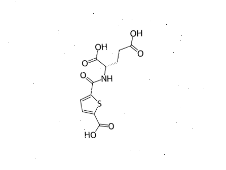 O=C(O)CC[C@H](NC(=O)c1ccc(C(=O)O)s1)C(=O)O